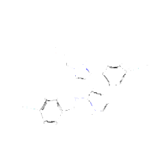 OCCn1cc(-c2cccnc2NCc2ccc(F)cc2)c(-c2ccc(F)cc2)n1